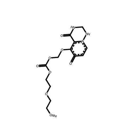 COCCOCCOC(=O)OCOc1c2n(ccc1=O)NCNC2=O